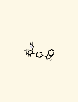 C/N=C/c1[nH]nnc1-c1ccc(-c2csc3ccccc23)cc1